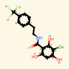 O=C(NCCc1ccc(C(F)(F)F)cc1)c1c(O)cc(O)c(Cl)c1O